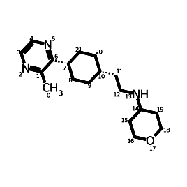 Cc1nccnc1[C@H]1CC[C@@H](CCNC2CCOCC2)CC1